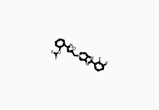 Fc1cccc(-c2nc3ccn(Cc4cc(-c5ccccc5OC(F)F)no4)cc-3n2)c1F